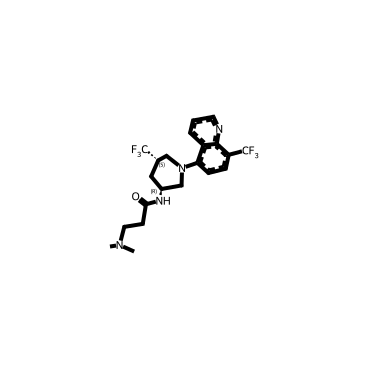 CN(C)CCC(=O)N[C@@H]1C[C@H](C(F)(F)F)CN(c2ccc(C(F)(F)F)c3ncccc23)C1